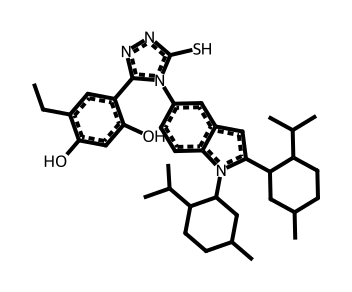 CCc1cc(-c2nnc(S)n2-c2ccc3c(c2)cc(C2CC(C)CCC2C(C)C)n3C2CC(C)CCC2C(C)C)c(O)cc1O